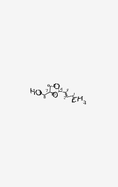 CCC=CC1OCC(CO)O1